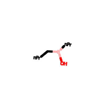 CCCCB(O)CCC